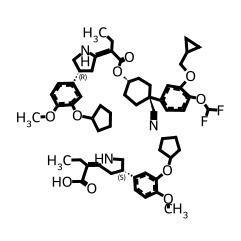 CCC(C(=O)O)=C1C[C@@H](c2ccc(OC)c(OC3CCCC3)c2)CN1.CCC(C(=O)O[C@H]1CC[C@@](C#N)(c2ccc(OC(F)F)c(OCC3CC3)c2)CC1)=C1C[C@H](c2ccc(OC)c(OC3CCCC3)c2)CN1